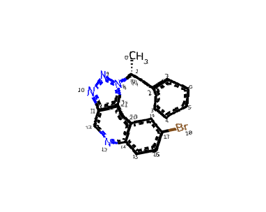 C[C@H](c1ccccc1)n1nnc2cnc3ccc(Br)cc3c21